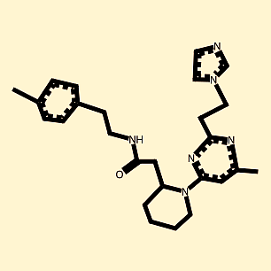 Cc1ccc(CCNC(=O)CC2CCCCN2c2cc(C)nc(CCn3ccnc3)n2)cc1